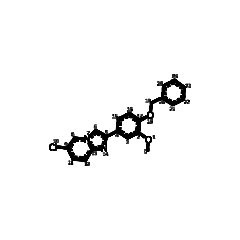 COc1cc(-c2cn3cc(Cl)ccc3n2)ccc1OCc1ccccc1